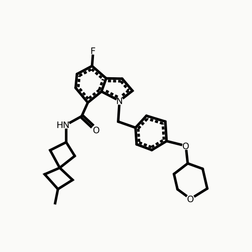 CC1CC2(C1)CC(NC(=O)c1ccc(F)c3ccn(Cc4ccc(OC5CCOCC5)cc4)c13)C2